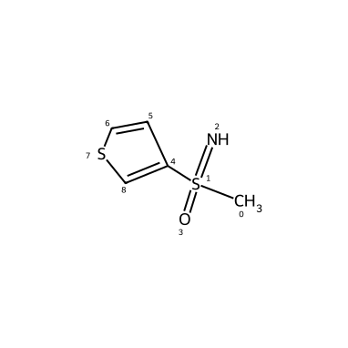 CS(=N)(=O)c1ccsc1